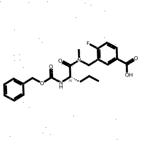 CCC[C@H](NC(=O)OCc1ccccc1)C(=O)N(C)Cc1cc(C(=O)O)ccc1F